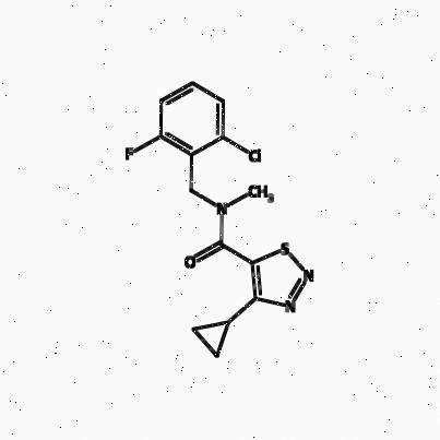 CN(Cc1c(F)cccc1Cl)C(=O)c1snnc1C1CC1